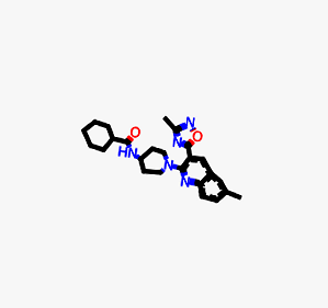 Cc1ccc2nc(N3CCC(NC(=O)C4CCCCC4)CC3)c(-c3nc(C)no3)cc2c1